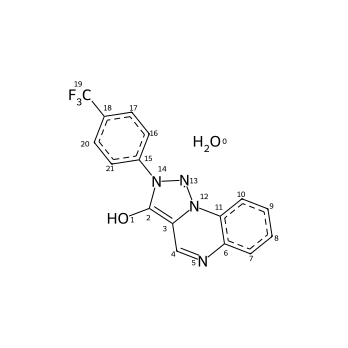 O.OC1=C2C=Nc3ccccc3N2[N]N1c1ccc(C(F)(F)F)cc1